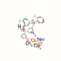 COc1cccc(C(=O)[C@H]2CN(CCNS(C)(=O)=O)C[C@H](C(=O)c3ccccc3F)[C@H]2c2cccc(F)c2C)c1